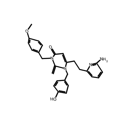 C=C1N(Cc2ccc(OC)cc2)C(=O)C=C(CCc2cccc(N)n2)N1Cc1ccc(O)cc1